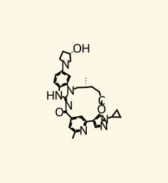 Cc1cc2cc(n1)-c1cnn(C3CC3)c1OCCC[C@@H](C)CN1/C(=N/C2=O)Nc2ccc(N3CC[C@H](O)C3)cc21